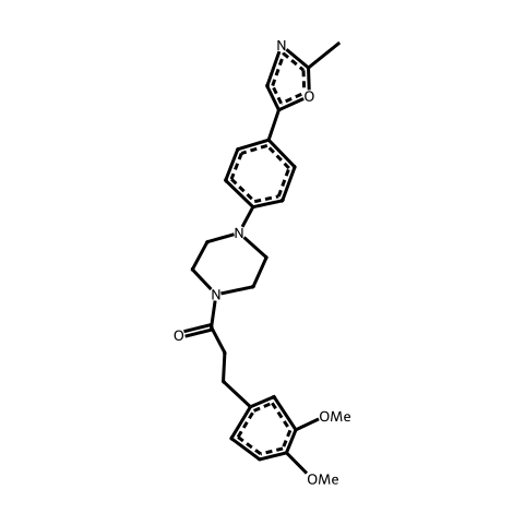 COc1ccc(CCC(=O)N2CCN(c3ccc(-c4cnc(C)o4)cc3)CC2)cc1OC